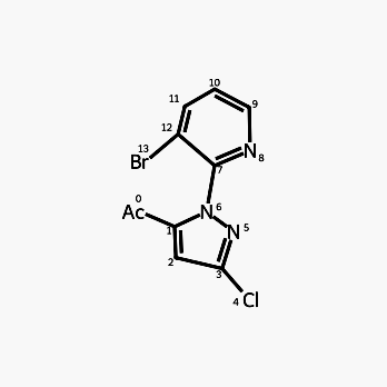 CC(=O)c1cc(Cl)nn1-c1ncccc1Br